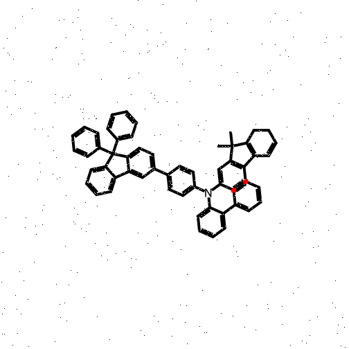 CC1(C)C2=C(C=CCC2)c2ccc(N(c3ccc(-c4ccc5c(c4)-c4ccccc4C5(c4ccccc4)c4ccccc4)cc3)c3ccccc3-c3ccccc3)cc21